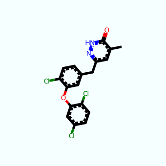 Cc1cc(Cc2ccc(Cl)c(Oc3cc(Cl)ccc3Cl)c2)n[nH]c1=O